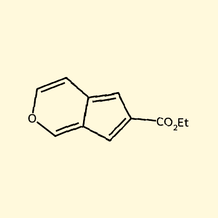 CCOC(=O)c1cc2ccocc-2c1